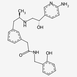 C[C@H](Cc1cccc(CC(=O)NCc2ccccc2O)c1)NC[C@@H](O)c1ccc(N)nc1